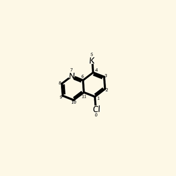 Clc1cc[c]([K])c2ncccc12